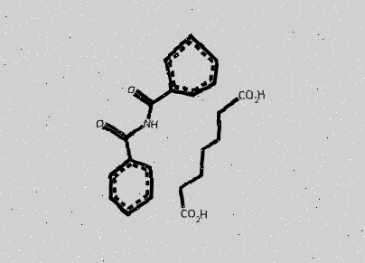 O=C(NC(=O)c1ccccc1)c1ccccc1.O=C(O)CCCCCC(=O)O